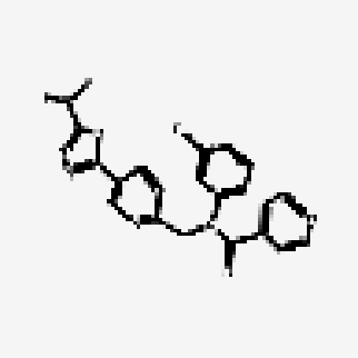 O=C(c1ccncc1)N(Cc1ccc(-c2nnc(C(F)F)o2)cn1)c1cccc(F)c1